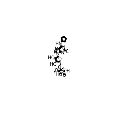 COC[C@](C)(OC[C@H]1O[C@@H](n2nnc3c(NC4CCCC4)nc(Cl)nc32)[C@H](O)[C@@H]1O)P(=O)(O)O